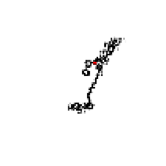 CC(C)(C)[C@H](NC(=O)c1cc2cc(C(F)(F)P(=O)(O)O)ccc2s1)C(=O)N1C[C@@H](OCCCCCCCCCC#Cc2cccc3c2CN(C2CCC(=O)NC2=O)C3=O)C[C@H]1C(=O)N1CCO[C@H](c2ccccc2)C1